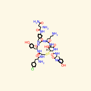 NCCCC[C@@H]1NC(=O)[C@@H](Cc2ccc(NC(=O)[C@@H](N)CC(N)=O)cc2)NC(=O)[C@H](Cc2ccc(O)cc2)NC(=O)[C@H](NC(=O)[C@@H](N)Cc2ccc(Cl)cc2)CSSC2[C@@H](C(=O)N[C@H](Cc3ccc(O)cc3)C(N)=O)NC(=O)[C@@H](NC1=O)[C@@H]2O